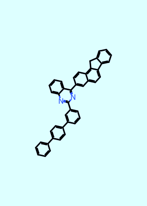 c1ccc(-c2ccc(-c3cccc(-c4nc(-c5ccc6c7c(ccc6c5)-c5ccccc5C7)c5ccccc5n4)c3)cc2)cc1